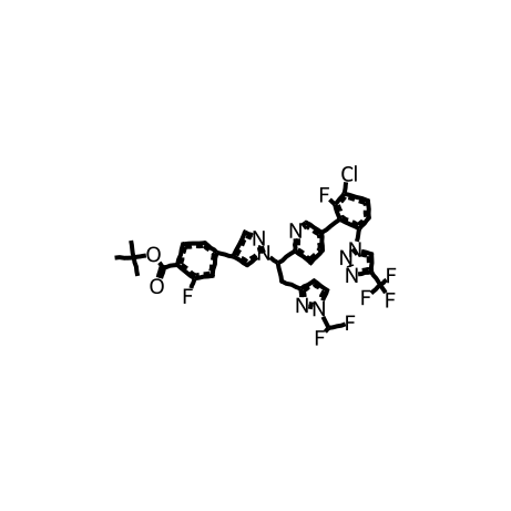 CC(C)(C)OC(=O)c1ccc(-c2cnn(C(Cc3ccn(C(F)F)n3)c3ccc(-c4c(-n5cc(C(F)(F)F)nn5)ccc(Cl)c4F)cn3)c2)cc1F